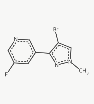 Cn1cc(Br)c(-c2cncc(F)c2)n1